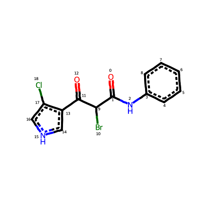 O=C(Nc1ccccc1)C(Br)C(=O)c1c[nH]cc1Cl